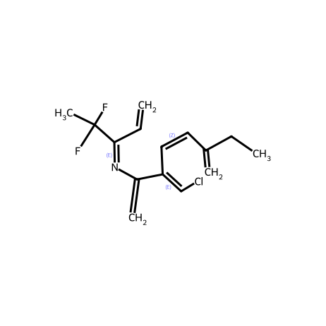 C=C/C(=N\C(=C)C(/C=C\C(=C)CC)=C/Cl)C(C)(F)F